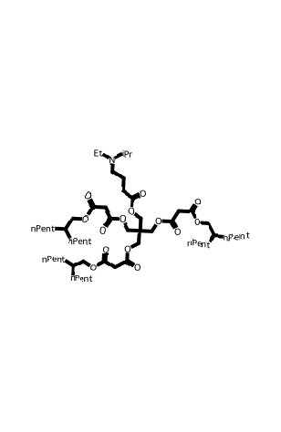 CCCCCC(CCCCC)COC(=O)CC(=O)OCC(COC(=O)CCCN(CC)C(C)C)(COC(=O)CC(=O)OCC(CCCCC)CCCCC)COC(=O)CC(=O)OCC(CCCCC)CCCCC